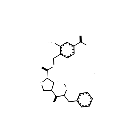 CONC(Cc1ccccc1)C(=O)C1CN[C@@H](C(=O)NCc2ccc(C(=N)N)cc2OC)C1.Cl.Cl